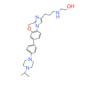 CC(C)N1CCN(c2ccc(-c3ccc4c(c3)OCc3nc(CCCNCCO)cn3-4)cc2)CC1